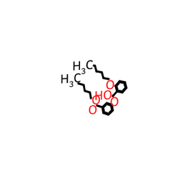 CCCCCCOC(=O)c1ccccc1.CCCCCCOc1ccccc1C(=O)O